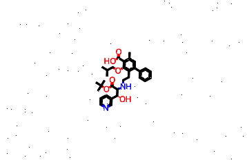 Cc1cc(-c2ccccc2)c(CCNC(C(=O)OC(C)(C)C)[C@H](O)c2cccnc2)c(OCC(C)C)c1C(=O)O